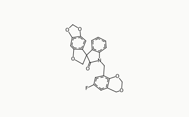 O=C1N(Cc2cc(F)cc3c2OCOC3)c2ccccc2C12COc1cc3c(cc12)OCO3